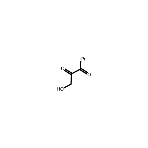 CC(C)C(=O)C(=O)CO